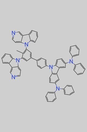 Cc1c(-n2c3ccccc3c3cnccc32)cc(-c2ccc(-n3c4ccc(N(c5ccccc5)c5ccccc5)cc4c4cc(N(c5ccccc5)c5ccccc5)ccc43)cc2)cc1-n1c2ccccc2c2cnccc21